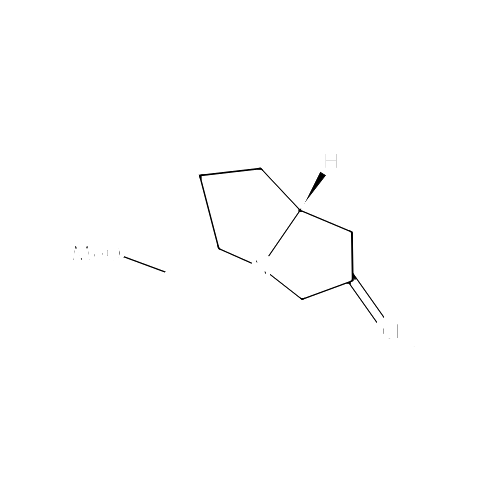 C=C1C[C@H]2CC[C@@H](COC)N2C1